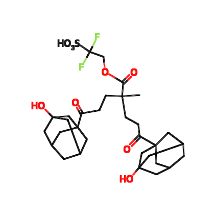 CC(CCC(=O)C12CC3CC(CC(O)(C3)C1)C2)(CCC(=O)C12CC3CC(CC(O)(C3)C1)C2)C(=O)OCC(F)(F)S(=O)(=O)O